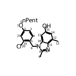 CCCCCOc1ccc(Cn2c(C)nc3c(C)cc(O)cc32)c(Cl)c1